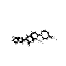 CN1CCCN(C2C=Cc3cc(-c4cn5ccsc5n4)c(=O)oc3N2C)CC1